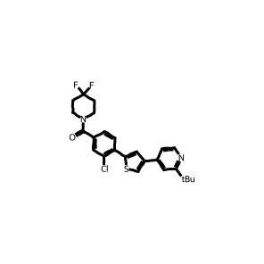 CC(C)(C)c1cc(-c2csc(-c3ccc(C(=O)N4CCC(F)(F)CC4)cc3Cl)c2)ccn1